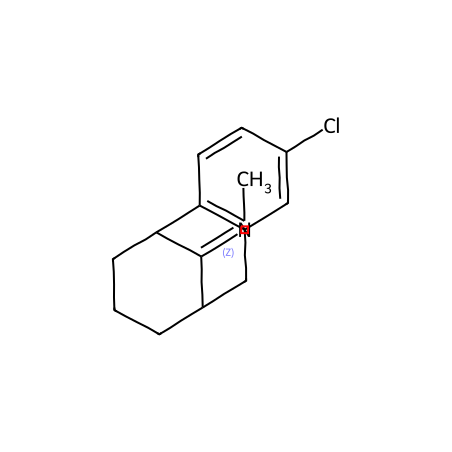 C/N=C1/C2CCCC1c1ccc(Cl)cc1C2